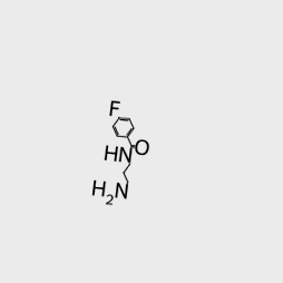 NCCCNC(=O)c1ccc(F)cc1